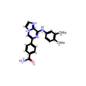 COc1ccc(Nc2nc(-c3ccc(C(N)=O)cc3)cn3ccnc23)cc1OC